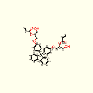 C=CC(=O)OC(CO)COc1ccc(C2(c3ccc(OCC(CO)OC(=O)C=C)cc3)c3ccccc3-c3ccccc32)cc1